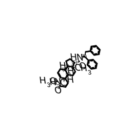 CN1C(=O)CC[C@@]2(C)C1=CC[C@H]1[C@@H]3CC[C@H](C(=O)N[C@@H](Cc4ccccc4)c4ccccc4)[C@@]3(C)CC[C@@H]12